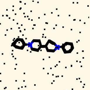 C1=CN(c2ccccc2)C=CC1=C1C=CN(c2ccccc2)C=C1